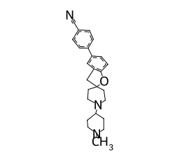 CN1CCC(N2CCC3(CC2)Cc2cc(-c4ccc(C#N)cc4)ccc2O3)CC1